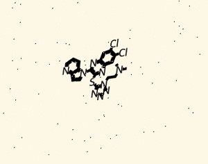 CN(C)CCn1nnnc1Sc1nc2cc(Cl)c(Cl)cc2nc1-n1ccc2ncccc21